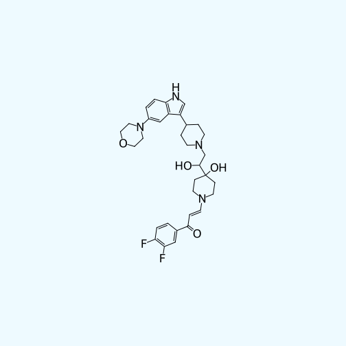 O=C(C=CN1CCC(O)(C(O)CN2CCC(c3c[nH]c4ccc(N5CCOCC5)cc34)CC2)CC1)c1ccc(F)c(F)c1